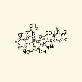 Cc1nc([C@@H]2O[C@H](CO)[C@H](O)[C@H](n3cc(-c4cc(F)c(Cl)c(F)c4)nn3)[C@H]2OCC(=O)O)n(-c2cc(Cl)ccc2C(F)(F)F)n1